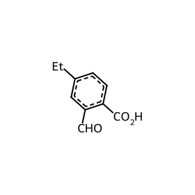 CCc1ccc(C(=O)O)c(C=O)c1